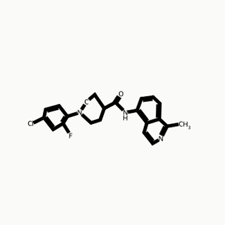 Cc1nccc2c(NC(=O)C3CCN(c4ccc(Cl)cc4F)CC3)cccc12